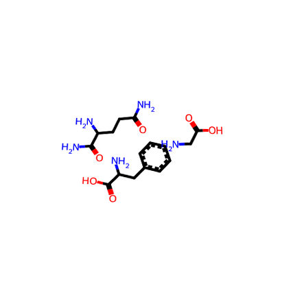 NC(=O)CCC(N)C(N)=O.NC(Cc1ccccc1)C(=O)O.NCC(=O)O